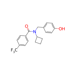 O=C(c1ccc(C(F)(F)F)cc1)N(Cc1ccc(O)cc1)C1CCC1